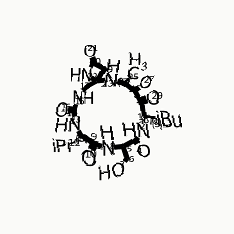 CC[C@H](C)[C@@H]1NC(=O)C(CO)NC(=O)[C@H](C(C)C)NC(=O)NCC2(CC(=O)N2)N[C@@H](C)C(=O)C1=O